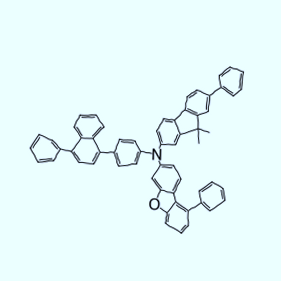 CC1(C)c2cc(-c3ccccc3)ccc2-c2ccc(N(c3ccc(-c4ccc(-c5ccccc5)c5ccccc45)cc3)c3ccc4c(c3)oc3cccc(-c5ccccc5)c34)cc21